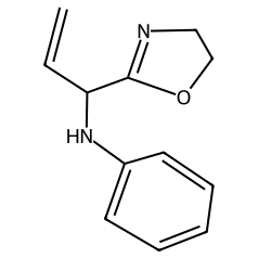 C=CC(Nc1ccccc1)C1=NCCO1